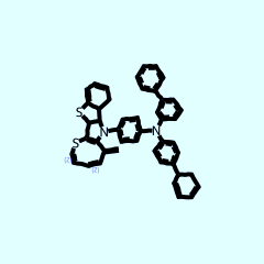 C=C1/C=C\C=C/SC2=C1N(c1ccc(N(c3ccc(C4C=CC=CC4)cc3)c3cccc(-c4ccccc4)c3)cc1)C1C3CC=CC=C3SC21